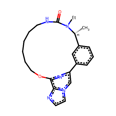 CCN1C(=O)NCCCCCCOc2nc(cn3ccnc23)-c2cccc(c2)[C@H]1C